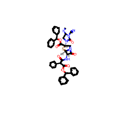 C=NC1CN([C@]2(C(=O)OC(c3ccccc3)c3ccccc3)CN3C(=O)[C@@H](NC(=O)C(C(=O)OC(c4ccccc4)c4ccccc4)c4ccccc4)[C@H]3S2)C(=O)N1C#N